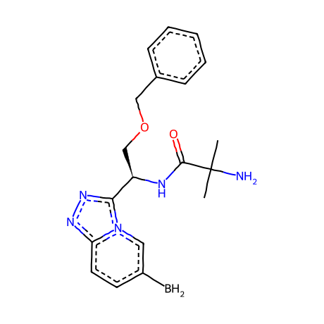 Bc1ccc2nnc([C@@H](COCc3ccccc3)NC(=O)C(C)(C)N)n2c1